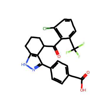 O=C(O)c1ccc(-c2n[nH]c3c2C(C(=O)c2c(Cl)cccc2C(F)(F)F)CCC3)cc1